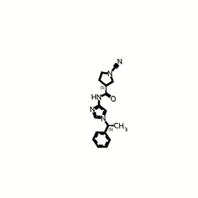 C[C@@H](c1ccccc1)n1cnc(NC(=O)[C@H]2CCN(C#N)C2)c1